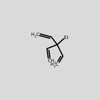 C=CC(C=C)(C=C)CC